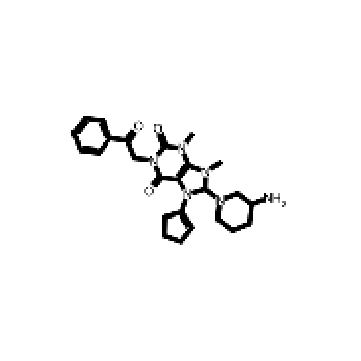 CN1c2c(c(=O)n(CC(=O)c3ccccc3)c(=O)n2C)N(C2=CCCC2)C1N1CCCC(N)C1